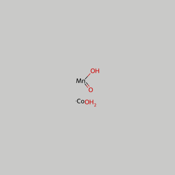 O.[Co].[O]=[Mn][OH]